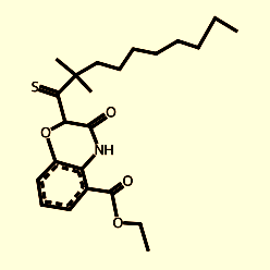 CCCCCCCCC(C)(C)C(=S)C1Oc2cccc(C(=O)OCC)c2NC1=O